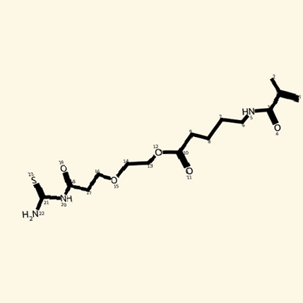 C=C(C)C(=O)NCCCCC(=O)OCCOCCC(=O)NC(N)=S